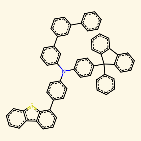 c1ccc(-c2cccc(-c3cccc(N(c4ccc(-c5cccc6c5sc5ccccc56)cc4)c4ccc(C5(c6ccccc6)c6ccccc6-c6ccccc65)cc4)c3)c2)cc1